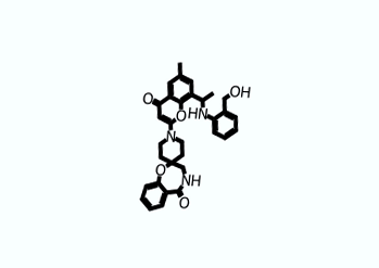 Cc1cc(C(C)Nc2ccccc2CO)c2oc(N3CCC4(CC3)CNC(=O)c3ccccc3O4)cc(=O)c2c1